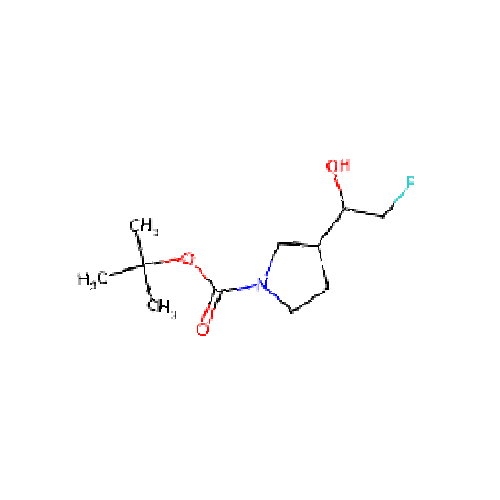 CC(C)(C)OC(=O)N1CCC(C(O)CF)C1